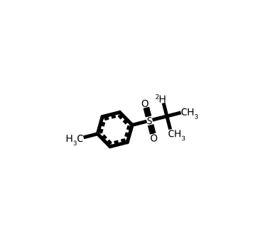 [2H]C(C)(C)S(=O)(=O)c1ccc(C)cc1